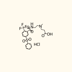 CN(CCNS(=O)(=O)c1cc(S(=O)(=O)c2ccccc2)ccc1C(F)(F)F)CCC(=O)O.Cl